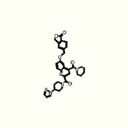 O=C1OCc2cc(COc3ccc4nc(C(=O)N5CCC(n6cccn6)CC5)cc(C(=O)N5CCCCC5)c4c3)ccc21